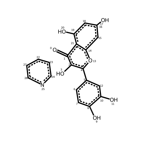 O=c1c(O)c(-c2ccc(O)c(O)c2)oc2cc(O)cc(O)c12.c1ccncc1